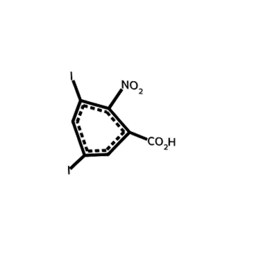 O=C(O)c1cc(I)cc(I)c1[N+](=O)[O-]